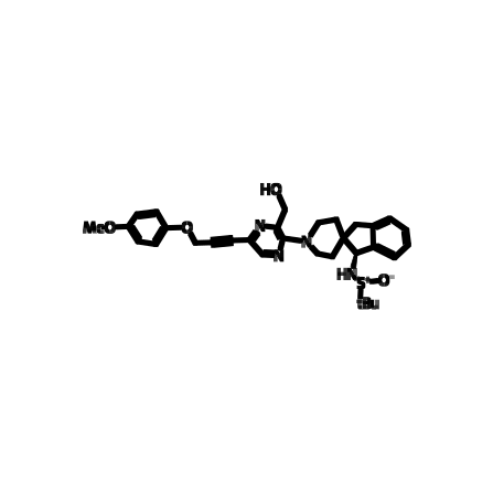 COc1ccc(OCC#Cc2cnc(N3CCC4(CC3)Cc3ccccc3[C@H]4N[S+]([O-])C(C)(C)C)c(CO)n2)cc1